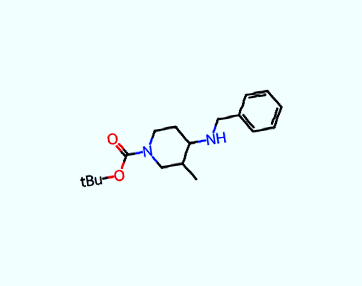 CC1CN(C(=O)OC(C)(C)C)CCC1NCc1ccccc1